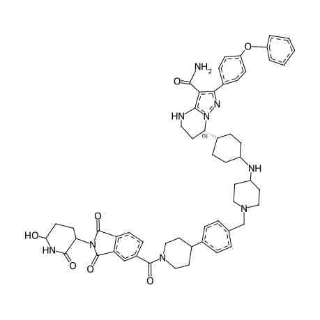 NC(=O)c1c(-c2ccc(Oc3ccccc3)cc2)nn2c1NCC[C@H]2C1CCC(NC2CCN(Cc3ccc(C4CCN(C(=O)c5ccc6c(c5)C(=O)N(C5CCC(O)NC5=O)C6=O)CC4)cc3)CC2)CC1